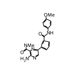 CNC(=O)c1nc(-c2cccc(C(=O)Nc3ccc(OC)cc3)c2)cnc1N